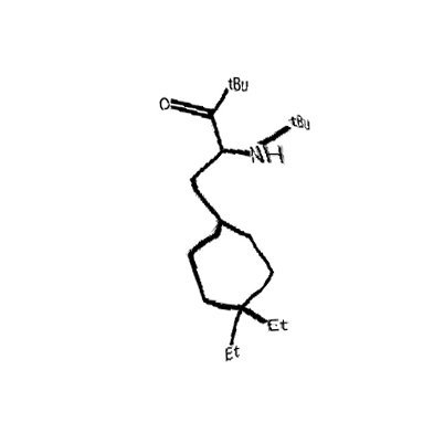 CCC1(CC)CCC(CC(NC(C)(C)C)C(=O)C(C)(C)C)CC1